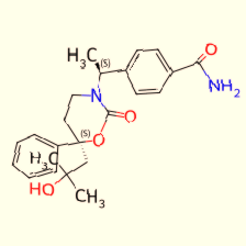 C[C@@H](c1ccc(C(N)=O)cc1)N1CC[C@](CC(C)(C)O)(c2ccccc2)OC1=O